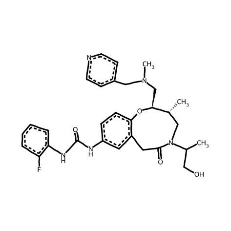 CC(CO)N1C[C@@H](C)[C@H](CN(C)Cc2ccncc2)Oc2ccc(NC(=O)Nc3ccccc3F)cc2CC1=O